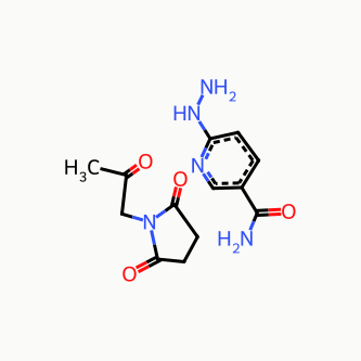 CC(=O)CN1C(=O)CCC1=O.NNc1ccc(C(N)=O)cn1